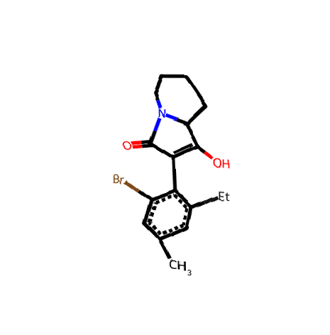 CCc1cc(C)cc(Br)c1C1=C(O)C2CCCCN2C1=O